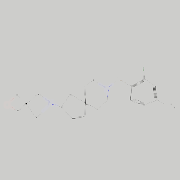 N#Cc1ccc(SN2CCC3(CCC(N4CC5(COC5)C4)C3)CC2)c(Cl)c1